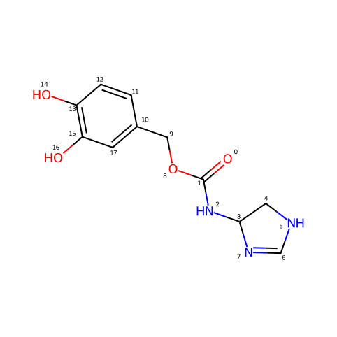 O=C(NC1CNC=N1)OCc1ccc(O)c(O)c1